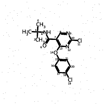 CC(C)(C)NC(=O)c1cnc(Cl)nc1Oc1ccc(Cl)cc1